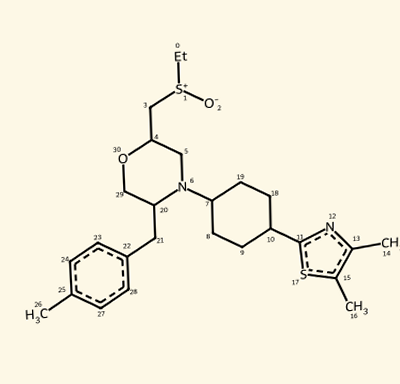 CC[S+]([O-])CC1CN(C2CCC(c3nc(C)c(C)s3)CC2)C(Cc2ccc(C)cc2)CO1